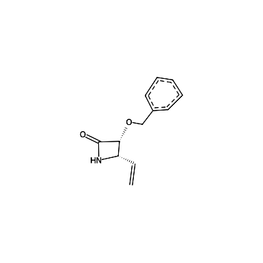 C=C[C@@H]1NC(=O)[C@@H]1OCc1ccccc1